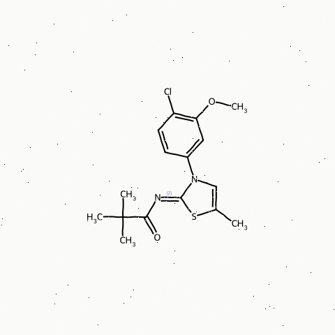 COc1cc(-n2cc(C)s/c2=N\C(=O)C(C)(C)C)ccc1Cl